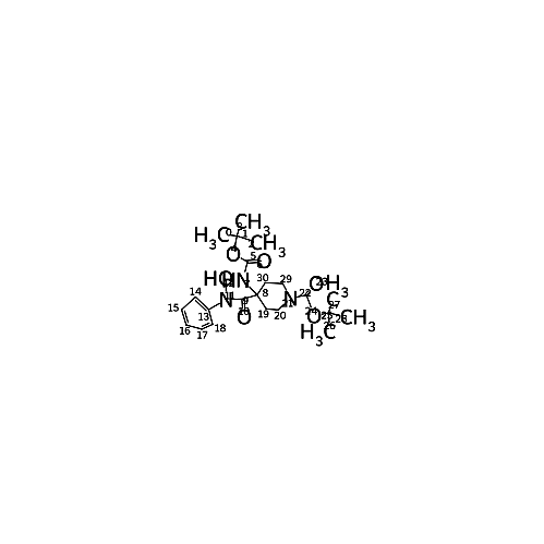 CC(C)(C)OC(=O)NC1(C(=O)N(O)c2ccccc2)CCN(C(=O)OC(C)(C)C)CC1